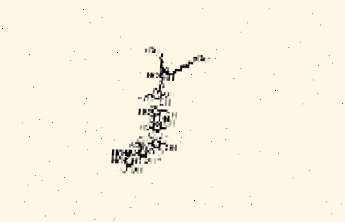 CCCCCCCCCCCCC/C=C/[C@@H](O)[C@H](CO[C@@H]1OC(CO)[C@@H](O[C@@H]2OC(CO)[C@H](O)[C@H](O[C@H]3OC(CO)[C@H](O)[C@H](O[C@@H]4OC(CO)[C@H](O)[C@H](O[C@@H]5OC(CO)[C@H](O)[C@H](O[C@H]6OC(CO)[C@H](O)[C@H](O)C6O)C5O)C4NC(C)=O)C3O)C2O)[C@H](O)C1O)NC(=O)CCCCCCCCCCCCCCCCC